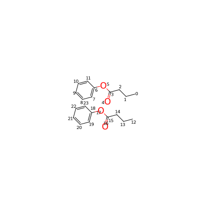 CCCC(=O)Oc1ccccc1.CCCC(=O)Oc1ccccc1